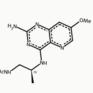 COc1cnc2c(N[C@@H](C)CNC(C)=O)nc(N)nc2c1